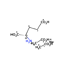 CC(=O)O.CC(=O)O.N[C@@H](CCC(=O)O)C(=O)O.[Na]